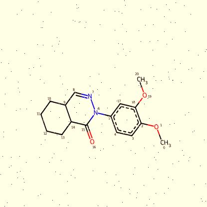 COc1ccc(N2N=CC3CCCCC3C2=O)cc1OC